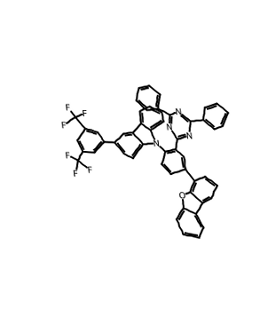 FC(F)(F)c1cc(-c2ccc3c(c2)c2ccccc2n3-c2ccc(-c3cccc4c3oc3ccccc34)cc2-c2nc(-c3ccccc3)nc(-c3ccccc3)n2)cc(C(F)(F)F)c1